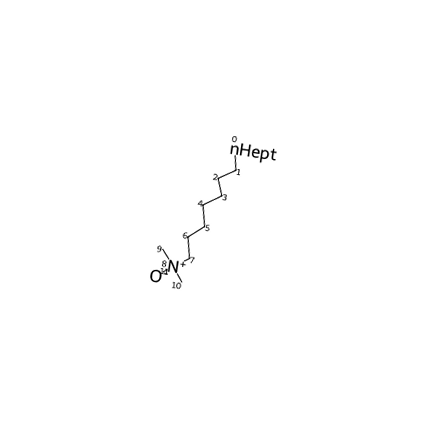 CCCCCCCCCCCCCC[N+](C)(C)[O-]